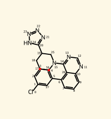 Clc1cccc(-c2cccc3ncnc(N4CCCC(c5nnn[nH]5)C4)c23)c1